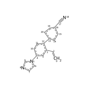 C=Cc1cc(-n2ccnc2)ccc1-c1ccc(C#N)cc1